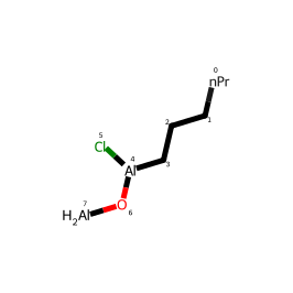 CCCCC[CH2][Al]([Cl])[O][AlH2]